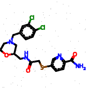 NC(=O)c1ccc(SCC(=O)NCC2CN(Cc3ccc(Cl)c(Cl)c3)CCO2)cn1